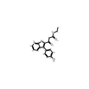 CCOC(=O)CC(=O)c1sc2ncccc2c1-c1ccc(Cl)cc1